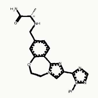 CC(C)n1ncnc1-c1cn2c(n1)-c1ccc(CN[C@@H](C)C(N)=O)cc1OCC2